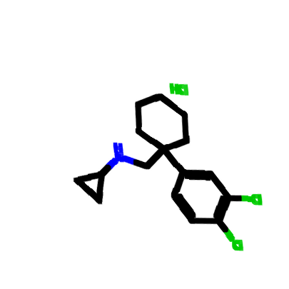 Cl.Clc1ccc(C2(CNC3CC3)CCCCC2)cc1Cl